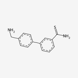 NCc1ccc(-c2cccc(C(N)=S)c2)cc1